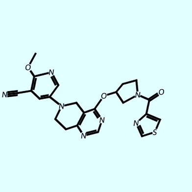 COc1ncc(N2CCc3ncnc(OC4CCN(C(=O)c5cscn5)C4)c3C2)cc1C#N